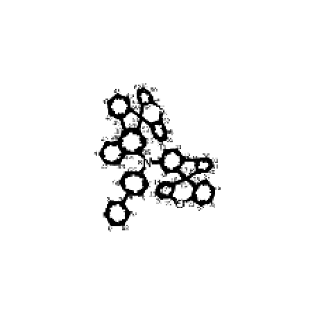 c1ccc(-c2ccc(N(c3ccc4c(c3)C3(c5ccccc5Oc5ccccc53)c3ccccc3-4)c3cc4c(c5ccccc35)-c3ccccc3C43c4ccccc4Sc4ccccc43)cc2)cc1